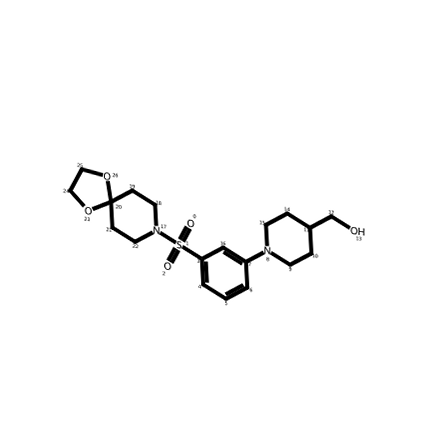 O=S(=O)(c1cccc(N2CCC(CO)CC2)c1)N1CCC2(CC1)OCCO2